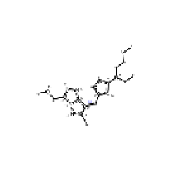 CCCCN(CC)c1ccc(/C=c2/c(C)nn3c(COC)nnc23)s1